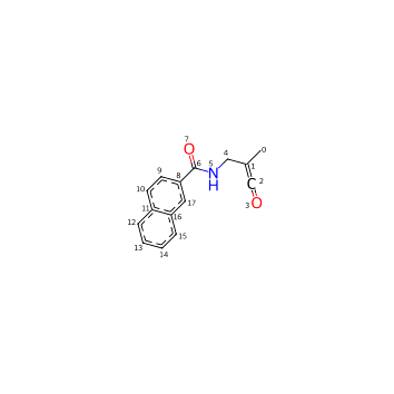 CC(=C=O)CNC(=O)c1ccc2ccccc2c1